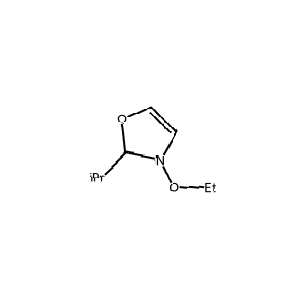 CCON1C=COC1C(C)C